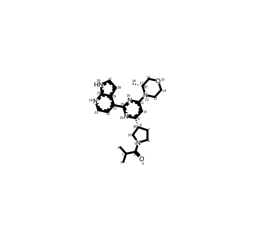 CC(C)C(=O)N1CC[C@@H](c2cc(N3CCOC[C@H]3C)nc(-c3ccnc4[nH]ccc34)n2)C1